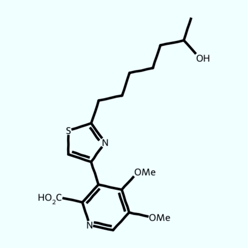 COc1cnc(C(=O)O)c(-c2csc(CCCCCC(C)O)n2)c1OC